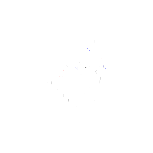 [2H]c1c(C(=O)C([2H])([2H])[2H])c(N([2H])C(=O)c2sccc2S(=O)(=O)N([2H])c2onc(C)c2C)c(C([2H])([2H])[2H])c([2H])c1C([2H])([2H])[2H]